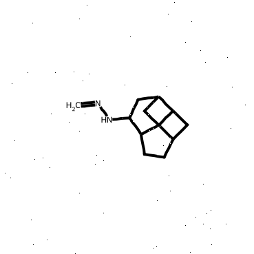 C=NNC1CC2CC34C(CCC13)CC24